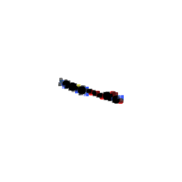 CN(C)c1ccc(-c2ccc(-c3nc4ccc(NCCOCCOCCOc5ccc6c(c5)CN(C5CCC(=O)NC5=O)C6=O)cc4s3)cc2)cn1